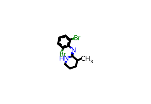 CC1CCCNC1=Nc1c(Br)cccc1Br